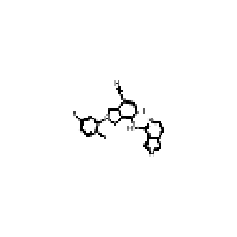 N#CC1=CNC(Nc2[nH]ccc3cncc2-3)=C2CN(c3cc(F)ccc3F)C=C12